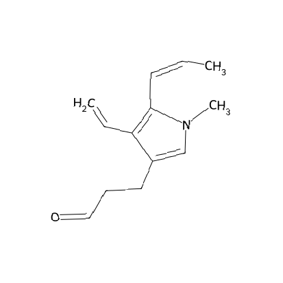 C=Cc1c(CCC=O)cn(C)c1/C=C\C